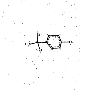 CCC(N)(CC)c1ccc(C#N)cc1